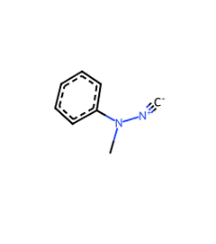 [C-]#[N+]N(C)c1ccccc1